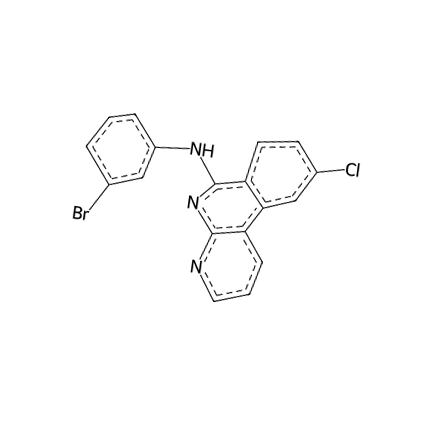 Clc1ccc2c(Nc3cccc(Br)c3)nc3ncccc3c2c1